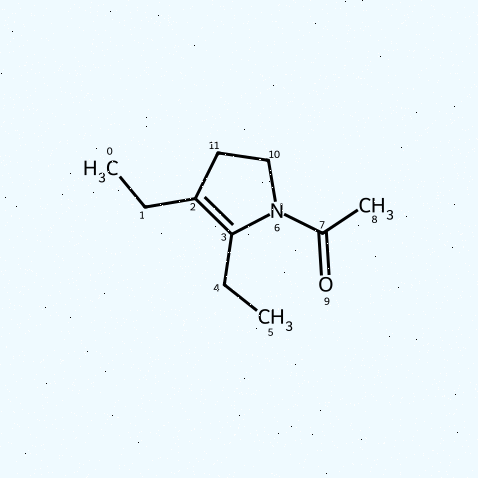 CCC1=C(CC)N(C(C)=O)CC1